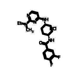 CCN(C)c1nccc(N[C@H]2CC[C@@H](NC(=O)c3ccc(F)c(F)c3)CC2)n1.Cl